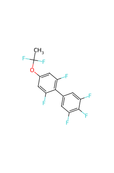 CC(F)(F)Oc1cc(F)c(-c2cc(F)c(F)c(F)c2)c(F)c1